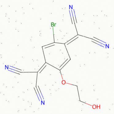 N#CC(C#N)=c1cc(OCCO)c(=C(C#N)C#N)cc1Br